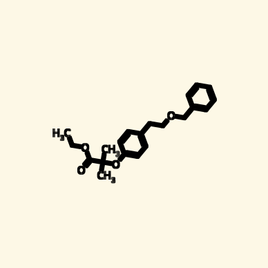 CCOC(=O)C(C)(C)Oc1ccc(CCOCc2ccccc2)cc1